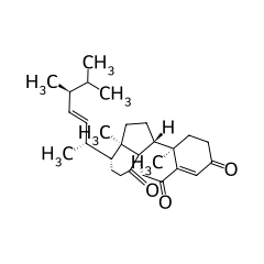 CC(C)[C@H](C)/C=C/[C@@H](C)[C@H]1CCC(=O)[C@]23CC(=O)C4=CC(=O)CC[C@]4(C)[C@H]2CC[C@]13C